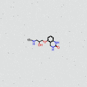 CC(C)(C)NCC(O)COc1cccc2c1CNC(=O)N2